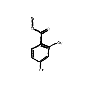 CCc1ccc(C(=O)OBr)c(O)c1